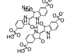 O=C1C(=C2Nc3ccc(S(=O)(=O)O)cc3C2=O)Nc2ccc(S(=O)(=O)[O-])cc21.O=C1C(=C2Nc3ccc(S(=O)(=O)O)cc3C2=O)Nc2ccc(S(=O)(=O)[O-])cc21.[Na+].[Na+]